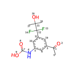 CC(=O)c1cc(NC(=O)O)cc(C(F)(F)C(C)(C)O)c1